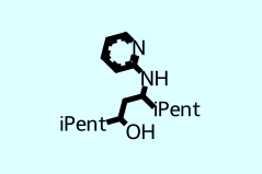 CCCC(C)C(O)CC(Nc1ccccn1)C(C)CCC